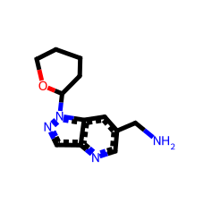 NCc1cnc2cnn(C3CCCCO3)c2c1